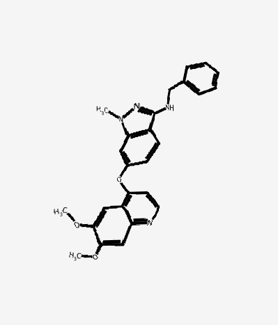 COc1cc2nccc(Oc3ccc4c(NCc5ccccc5)nn(C)c4c3)c2cc1OC